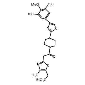 CCOC(=O)Cc1sc(CC(=O)N2CCC(c3nc(-c4cc(C(C)(C)C)c(OC)c(C(C)(C)C)c4)cs3)CC2)nc1C